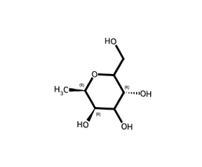 C[C@H]1OC(CO)[C@H](O)C(O)[C@H]1O